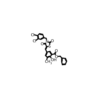 Cc1cc(/C=C2\SC(=O)N(Cc3ccc(Cl)c(Cl)c3)C2=O)cc(C(=O)OCc2ccccc2)c1O